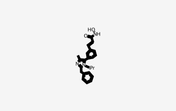 Cc1nc(Cc2ccccc2)n(C(C)C)c1-c1cccc(C=CC(=O)NO)c1